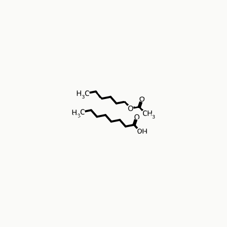 CCCCCCCC(=O)O.CCCCCCOC(C)=O